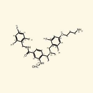 CC(c1ccc(C(=O)NCc2c(F)cc(F)cc2F)cc1NC=O)N(C)Cc1c(F)cc(OCCCN)cc1F